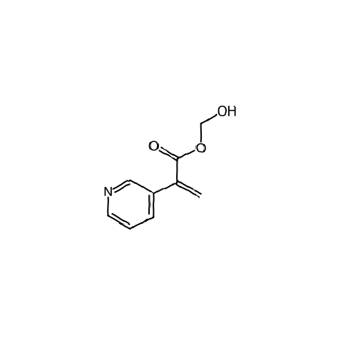 C=C(C(=O)OCO)c1cccnc1